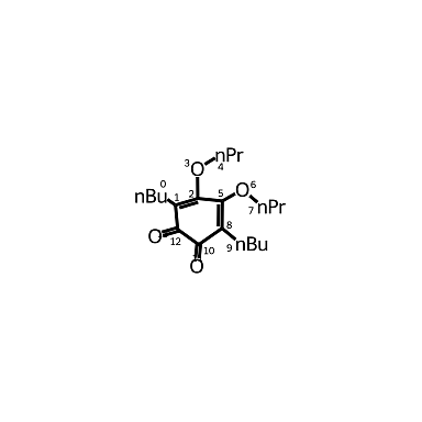 CCCCC1=C(OCCC)C(OCCC)=C(CCCC)C(=O)C1=O